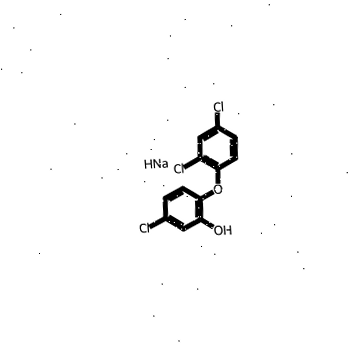 Oc1cc(Cl)ccc1Oc1ccc(Cl)cc1Cl.[NaH]